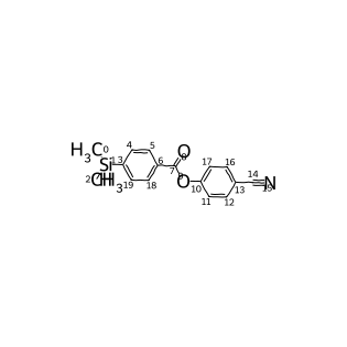 C[SiH](C)c1ccc(C(=O)Oc2ccc(C#N)cc2)cc1